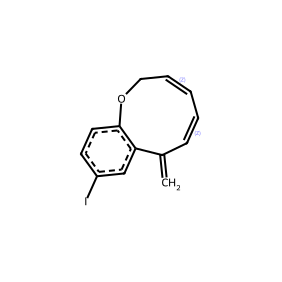 C=C1/C=C\C=C/COc2ccc(I)cc21